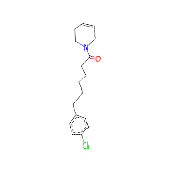 O=C(CCCCCc1ccc(Cl)cc1)N1CC=CCC1